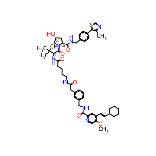 COc1cnc(C(=O)NCc2cccc(CC(=O)NCCCCC(=O)N[C@H](C(=O)N3C[C@H](O)C[C@H]3C(=O)NCc3ccc(-c4scnc4C)cc3)C(C)(C)C)c2)cc1/C=C/C1CCCCC1